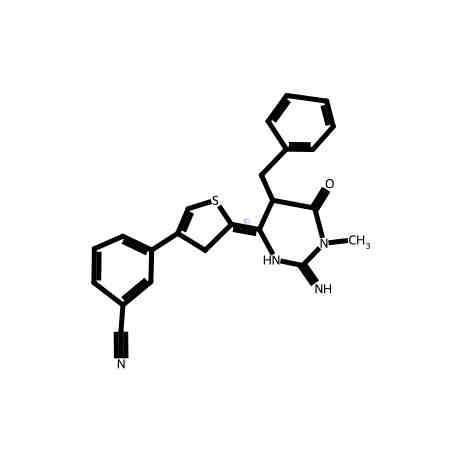 CN1C(=N)N/C(=C2\CC(c3cccc(C#N)c3)=CS2)C(Cc2ccccc2)C1=O